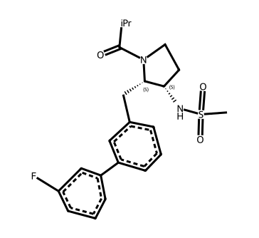 CC(C)C(=O)N1CC[C@H](NS(C)(=O)=O)[C@@H]1Cc1cccc(-c2cccc(F)c2)c1